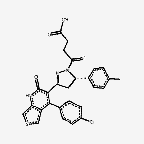 Cc1ccc([C@@H]2CC(c3c(-c4ccc(Cl)cc4)c4cscc4[nH]c3=O)=NN2C(=O)CCC(=O)O)cc1